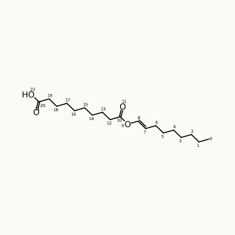 CCCCCCCC=COC(=O)CCCCCCCCC(=O)O